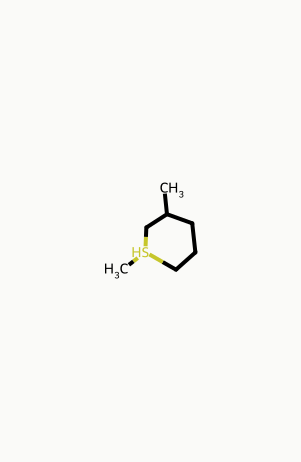 CC1CCC[SH](C)C1